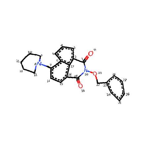 O=C1c2cccc3c(N4CCCCC4)ccc(c23)C(=O)N1OCc1ccccc1